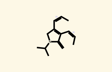 C=C1C(/C=C\C)=C(/C=C\C)CN1C(C)C